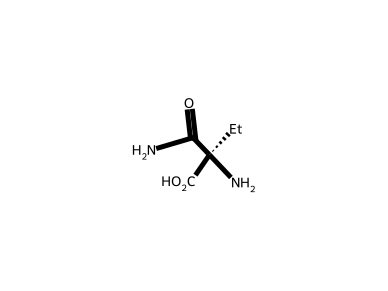 CC[C@@](N)(C(N)=O)C(=O)O